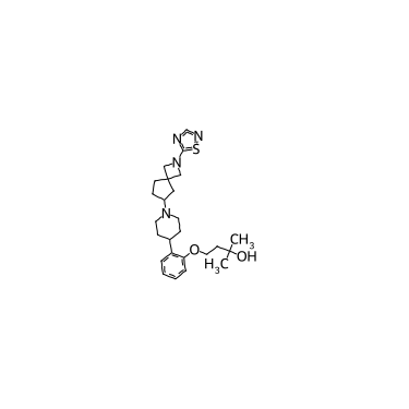 CC(C)(O)CCOc1ccccc1C1CCN(C2CCC3(C2)CN(c2ncns2)C3)CC1